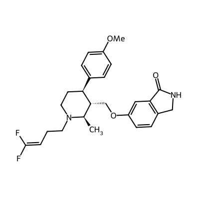 COc1ccc([C@@H]2CCN(CCC=C(F)F)[C@H](C)[C@H]2COc2ccc3c(c2)C(=O)NC3)cc1